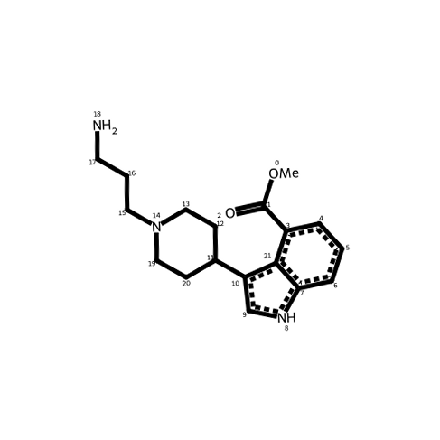 COC(=O)c1cccc2[nH]cc(C3CCN(CCCN)CC3)c12